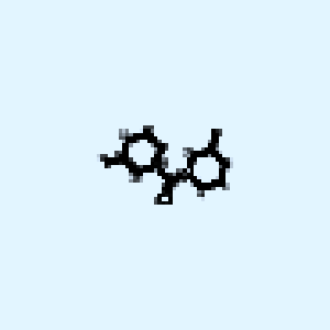 CC1CCCN(C(=O)N2CCCC(C)C2)C1